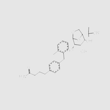 Cc1ccc([C@]23OC[C@](C(C)(C)O)(O2)[C@@H](O)[C@H](O)[C@H]3O)cc1Cc1ccc(CCCC(N)=O)cc1